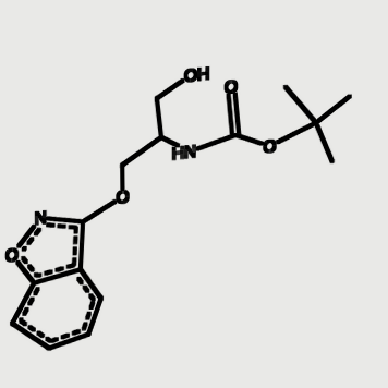 CC(C)(C)OC(=O)NC(CO)COc1noc2ccccc12